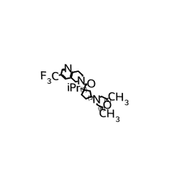 CC(C)[C@]1(C(=O)N2CCc3ncc(C(F)(F)F)cc3C2)CC[C@H](N2C[C@@H](C)O[C@@H](C)C2)C1